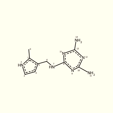 Cc1[nH]ccc1CNc1nc(N)nc(N)n1